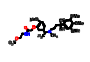 CCCC(C#N)(CCCN(C)C(C)c1ccc(OC)c(OCC(=O)NCCO[N+](=O)[O-])c1)c1cc(OC)c(OC)c(OC)c1